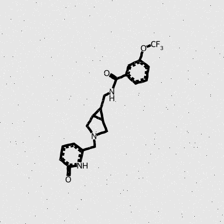 O=C(NCC1C2CN(Cc3cccc(=O)[nH]3)CC12)c1cccc(OC(F)(F)F)c1